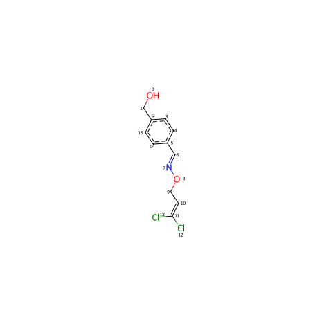 OCc1ccc(C=NOCC=C(Cl)Cl)cc1